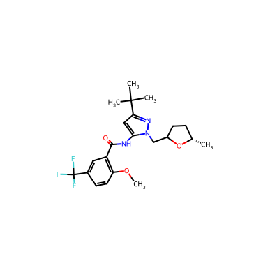 COc1ccc(C(F)(F)F)cc1C(=O)Nc1cc(C(C)(C)C)nn1CC1CC[C@H](C)O1